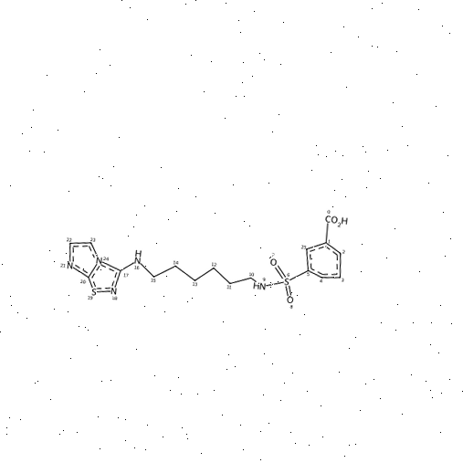 O=C(O)c1cccc(S(=O)(=O)NCCCCCCNc2nsc3nccn23)c1